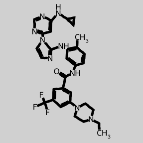 CCN1CCN(c2cc(C(=O)Nc3ccc(C)c(Nc4nccn4-c4cc(NC5CC5)ncn4)c3)cc(C(F)(F)F)c2)CC1